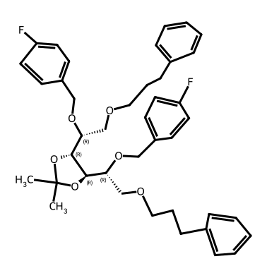 CC1(C)O[C@H]([C@@H](COCCCc2ccccc2)OCc2ccc(F)cc2)[C@@H]([C@@H](COCCCc2ccccc2)OCc2ccc(F)cc2)O1